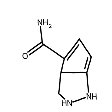 NC(=O)C1=CC=C2NNCC21